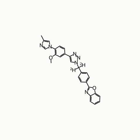 [2H]C([2H])(c1ccc(-c2nc3ccccc3o2)cc1)n1cc(-c2ccc(-n3cnc(C)c3)c(OC)c2)nn1